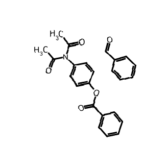 CC(=O)N(C(C)=O)c1ccc(OC(=O)c2ccccc2)cc1.O=Cc1ccccc1